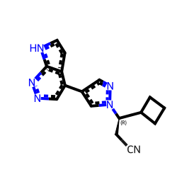 N#CC[C@H](C1CCC1)n1cc(-c2cnnc3[nH]ccc23)cn1